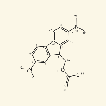 CN(C)c1ccc2c(c1)C(COC(=O)Cl)c1cc(N(C)C)ccc1-2